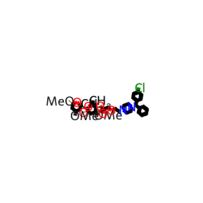 COC1C[C@H](O[C@H]2C(C)O[C@@H](OC)CC2OC)OC(C)[C@@H]1OC(=O)COCCN1CCN(C(c2ccccc2)c2ccc(Cl)cc2)CC1